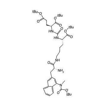 CN(C(=O)OC(C)(C)C)c1cc(C[C@@H](N)C(=O)NCCCC[C@H](NC(=O)N[C@@H](CCC(=O)OC(C)(C)C)C(=O)OC(C)(C)C)C(=O)OC(C)(C)C)cc2ccccc12